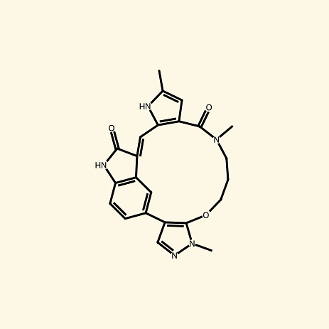 Cc1cc2c([nH]1)/C=C1\C(=O)Nc3ccc(cc31)-c1cnn(C)c1OCCCN(C)C2=O